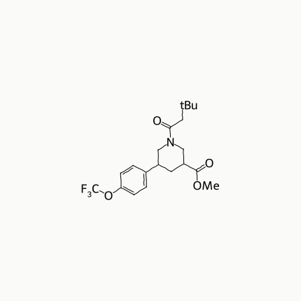 COC(=O)C1CC(c2ccc(OC(F)(F)F)cc2)CN(C(=O)CC(C)(C)C)C1